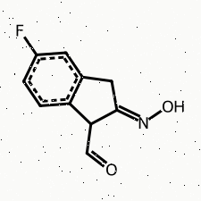 O=CC1C(=NO)Cc2cc(F)ccc21